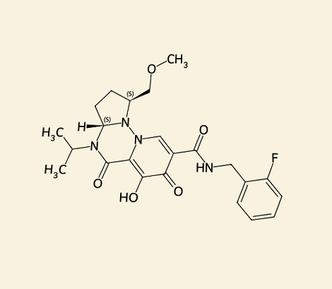 COC[C@@H]1CC[C@H]2N(C(C)C)C(=O)c3c(O)c(=O)c(C(=O)NCc4ccccc4F)cn3N12